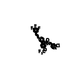 O=C(NCc1ccnc(Cl)c1)n1c2c(c3ccc(OC(F)(F)F)cc31)CN(CC=Cc1cc(F)c(F)c(F)c1)CC2